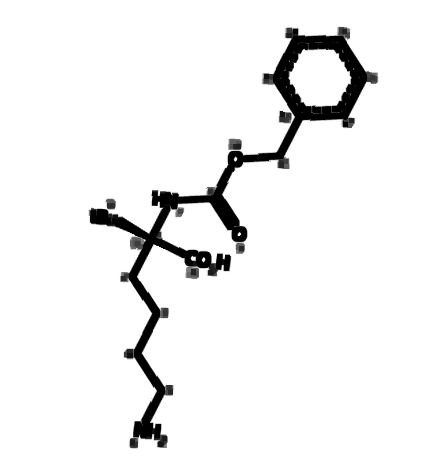 CC(C)(C)[C@@](CCCCN)(NC(=O)OCc1ccccc1)C(=O)O